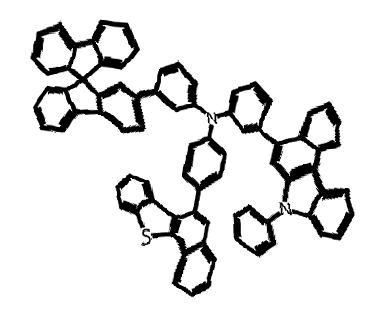 c1ccc(-n2c3ccccc3c3c4ccccc4c(-c4cccc(N(c5ccc(-c6cc7ccccc7c7sc8ccccc8c67)cc5)c5cccc(-c6ccc7c(c6)C6(c8ccccc8-c8ccccc86)c6ccccc6-7)c5)c4)cc32)cc1